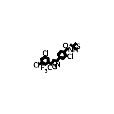 CC1(NC(=O)c2ccc(C3=NO[C@@](c4cc(Cl)cc(Cl)c4)(C(F)(F)F)C3)cc2Cl)CSC1